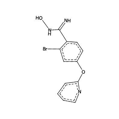 N=C(NO)c1ccc(Oc2ccccn2)cc1Br